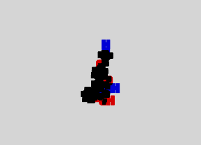 O=C1NCN(C(=O)O)c2c1c(-c1ccc(OCC3CNC3)cc1)cn2-c1ccccc1